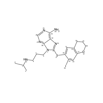 CC(C)NCCCn1c(Sc2cc3c(cc2I)OCCC3)nc2c(N)ncnc21